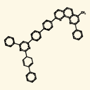 Cc1cc(-c2ccccc2)nc2c1ccc1ccc(-c3ccc(-c4ccc(-c5cc(-c6ccccc6)nc(C6C=CC(c7ccccc7)=CC6)n5)cc4)cc3)nc12